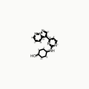 OC1CCC(Nc2nccc(-c3cnn4ncccc34)n2)CC1